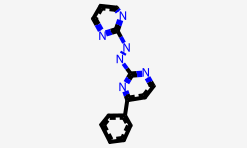 c1ccc(-c2ccnc(N=Nc3ncccn3)n2)cc1